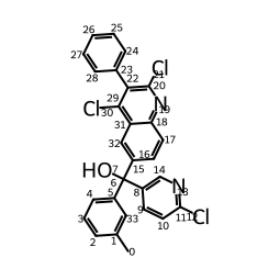 Cc1cccc(C(O)(c2ccc(Cl)nc2)c2ccc3nc(Cl)c(-c4ccccc4)c(Cl)c3c2)c1